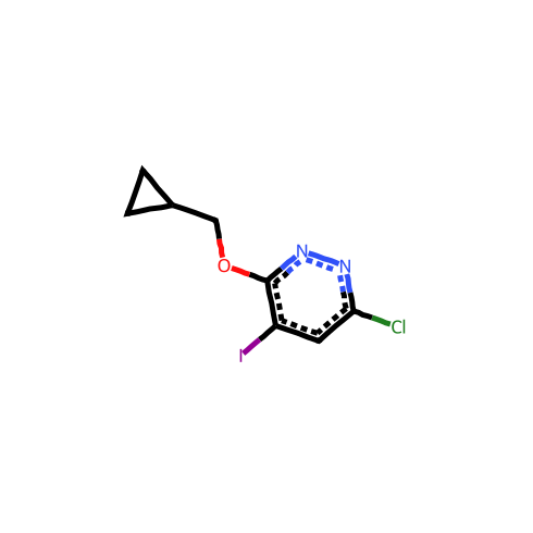 Clc1cc(I)c(OCC2CC2)nn1